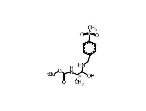 C[C@H](NC(=O)OC(C)(C)C)C(O)NCc1ccc(S(C)(=O)=O)cc1